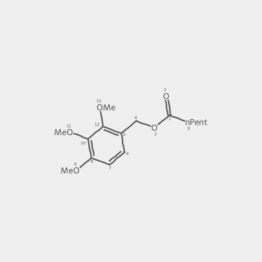 CCCCCC(=O)OCc1ccc(OC)c(OC)c1OC